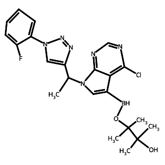 CC(c1cn(-c2ccccc2F)nn1)n1cc(BOC(C)(C)C(C)(C)O)c2c(Cl)ncnc21